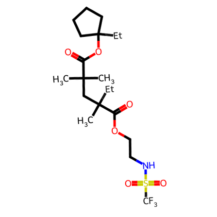 CCC1(OC(=O)C(C)(C)CC(C)(CC)C(=O)OCCNS(=O)(=O)C(F)(F)F)CCCC1